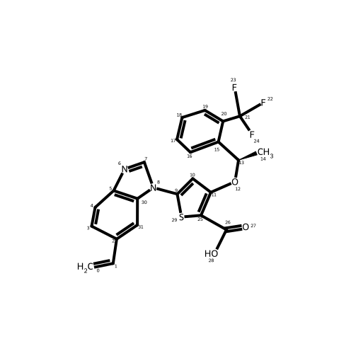 C=Cc1ccc2ncn(-c3cc(O[C@H](C)c4ccccc4C(F)(F)F)c(C(=O)O)s3)c2c1